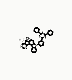 CC1(C)c2cncnc2-c2c1ccc1c2c2ccccc2n1-c1cccc(-c2nc(-c3ccccc3)nc(-c3ccccc3)n2)c1